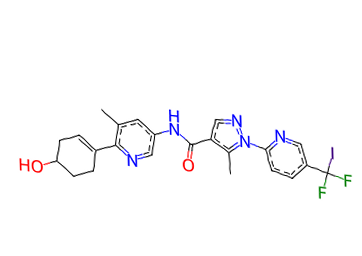 Cc1cc(NC(=O)c2cnn(-c3ccc(C(F)(F)I)cn3)c2C)cnc1C1=CCC(O)CC1